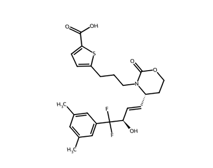 Cc1cc(C)cc(C(F)(F)[C@H](O)/C=C/[C@H]2CCOC(=O)N2CCCc2ccc(C(=O)O)s2)c1